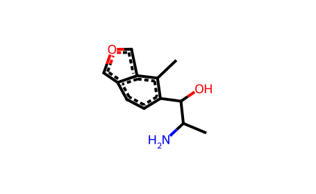 Cc1c(C(O)C(C)N)ccc2cocc12